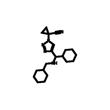 N#CC1(n2cc(C(NCC3CCCCC3)C3CCCCC3)nn2)CC1